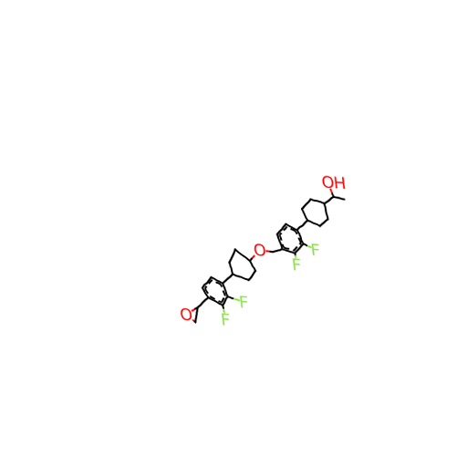 CC(O)C1CCC(c2ccc(COC3CCC(c4ccc(C5CO5)c(F)c4F)CC3)c(F)c2F)CC1